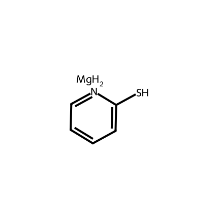 Sc1ccccn1.[MgH2]